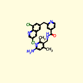 Cc1cc(N)nc(C)c1CNC(=O)c1ccnc(Cc2cc(Cl)c3ncc(Cl)cc3c2)c1